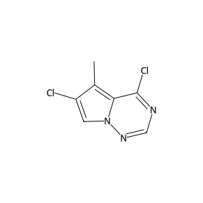 Cc1c(Cl)cn2ncnc(Cl)c12